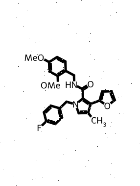 COc1ccc(CNC(=O)c2c(-c3ccco3)c(C)cn2Cc2ccc(F)cc2)c(OC)c1